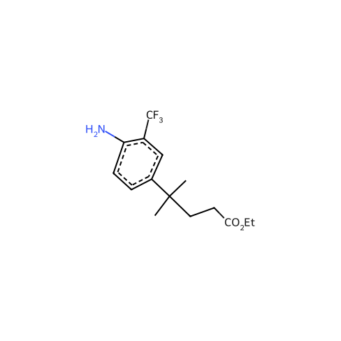 CCOC(=O)CCC(C)(C)c1ccc(N)c(C(F)(F)F)c1